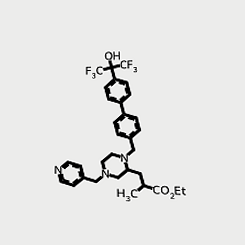 CCOC(=O)C(C)CC1CN(Cc2ccncc2)CCN1Cc1ccc(-c2ccc(C(O)(C(F)(F)F)C(F)(F)F)cc2)cc1